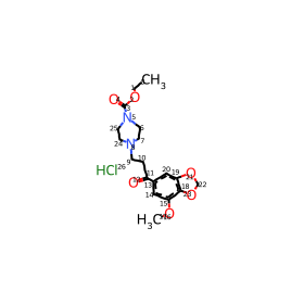 CCOC(=O)N1CCN(CCC(=O)c2cc(OC)c3c(c2)OCO3)CC1.Cl